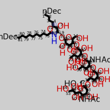 CCCCCCCCCCCCC/C=C/[C@@H](O)[C@H](CO[C@@H]1OC(CO)[C@@H](O[C@@H]2OC(CO)[C@H](O)[C@H](O[C@@H]3OC(CO)[C@@H](O)[C@H](O[C@@H]4OC(CO[C@]5(C(=O)O)CC(O)[C@@H](NC(C)=O)C([C@H](O)[C@H](O)CO)O5)[C@H](O)[C@H](O)C4O)C3NC(C)=O)C2O)[C@H](O)C1O)NC(=O)CCCCCCCCCCCCCCCCCCC